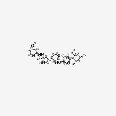 CCc1cc(F)cc(C)c1C(=O)NC(Cc1ccc(-c2c[nH]c(CNc3cc(OC)ccn3)c2)cc1)C(=O)O